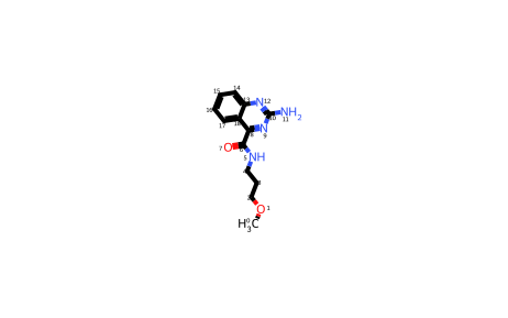 COCCCNC(=O)c1nc(N)nc2ccccc12